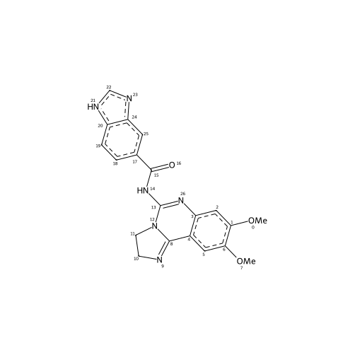 COc1cc2c(cc1OC)C1=NCCN1C(NC(=O)c1ccc3[nH]cnc3c1)=N2